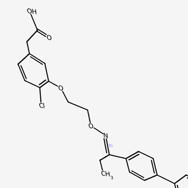 CC/C(=N\OCCOc1cc(CC(=O)O)ccc1Cl)c1ccc(-c2ccccc2)cc1